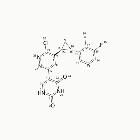 O=c1[nH]cc(-c2cc([C@H]3C[C@@H]3c3cccc(F)c3F)c(Cl)nn2)c(=O)[nH]1